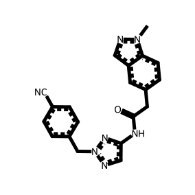 Cn1ncc2cc(CC(=O)Nc3cnn(Cc4ccc(C#N)cc4)n3)ccc21